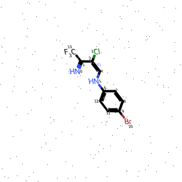 N=C(/C(Cl)=C\Nc1ccc(Br)cc1)C(F)(F)F